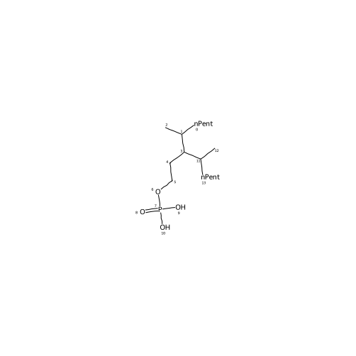 CCCCCC(C)C(CCOP(=O)(O)O)C(C)CCCCC